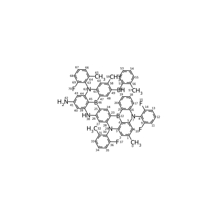 Cc1cc2c3c(c1)N(c1c(F)cccc1F)c1ccccc1B3c1cc3c(cc1N2c1c(C)cccc1F)Nc1cc(N)cc2c1B3c1cc(Bc3ccccc3C)c(C)cc1N2c1c(C)cccc1F